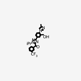 Cc1cn(-c2ccc(-c3nc(C(=O)c4cccc(C(F)(F)F)c4)n(C(C)C)n3)cc2CO)cn1